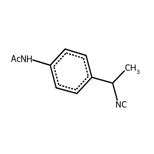 [C-]#[N+]C(C)c1ccc(NC(C)=O)cc1